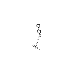 O=C(CCCCCCOc1ccc(-c2ccccc2)cc1)C(F)(F)F